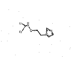 CCC(CC)NOCCn1ccnc1